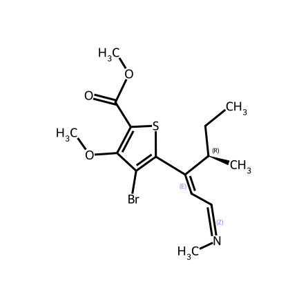 CC[C@@H](C)/C(=C\C=N/C)c1sc(C(=O)OC)c(OC)c1Br